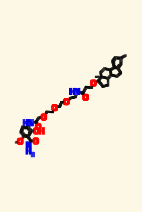 COc1ccc(NC(=O)COCCOCCOCCNC(=O)CCO[C@@H]2CCC3C4CCc5cc(C)ccc5C4CCC32C)c(O)c1C(N)=O